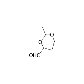 CC1OCCC(C=O)O1